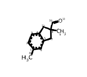 Cc1ccc2c(c1)CC(C)(C=O)C2